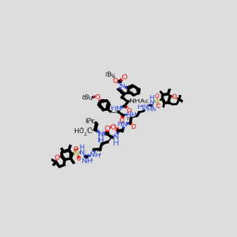 CC(=O)N[C@@H](Cc1cn(C(=O)OC(C)(C)C)c2ccccc12)C(=O)N[C@@H](Cc1ccc(OC(C)(C)C)cc1)C(=O)N[C@@H](CCCNC(=N)NS(=O)(=O)c1c(C)c(C)c2c(c1C)CCC(C)(C)O2)C(=O)NCC(=O)N[C@@H](CCCCNC(=N)NS(=O)(=O)c1c(C)c(C)c2c(c1C)CCC(C)(C)O2)C(=O)N[C@@H](CC(C)C)C(=O)O